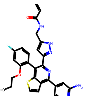 C=CC(=O)NCc1cc(-c2nc(-c3ccnc(N)c3)c3ccsc3c2-c2ccc(F)cc2OCCOC)n[nH]1